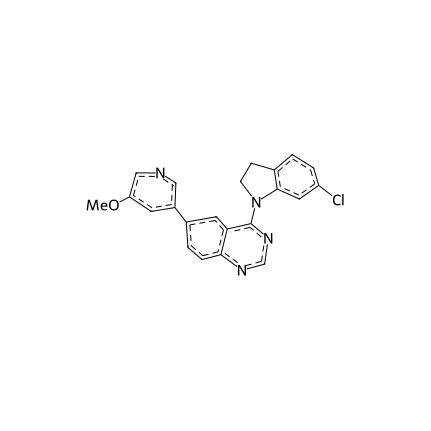 COc1cncc(-c2ccc3ncnc(N4CCc5ccc(Cl)cc54)c3c2)c1